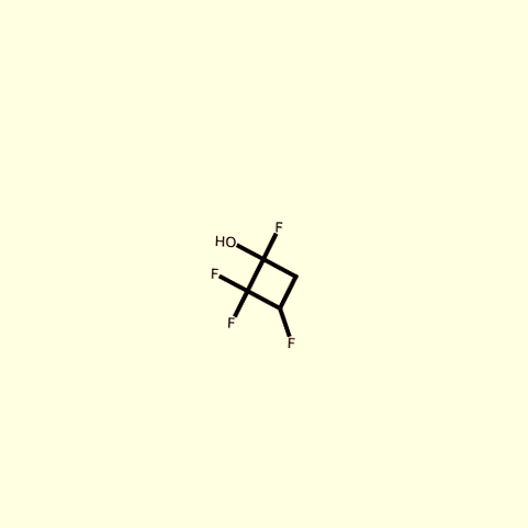 OC1(F)CC(F)C1(F)F